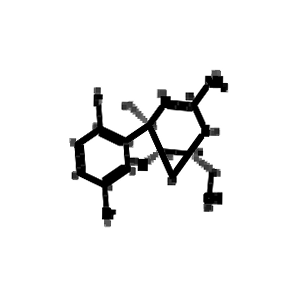 C[C@]1(c2cc(Br)ccc2F)N=C(N)S[C@@]2(CO)C[C@H]21